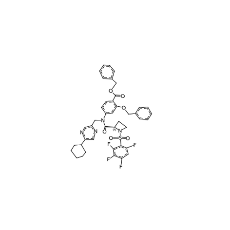 O=C(OCc1ccccc1)c1ccc(N(Cc2cnc(C3CCCCC3)cn2)C(=O)[C@H]2CCN2S(=O)(=O)c2c(F)cc(F)c(F)c2F)cc1OCc1ccccc1